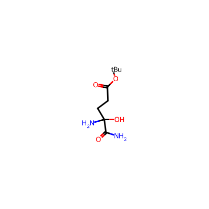 CC(C)(C)OC(=O)CCC(N)(O)C(N)=O